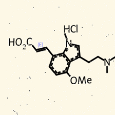 COc1ccc(/C=C/C(=O)O)c2c1c(CCN(C)C)cn2C.Cl